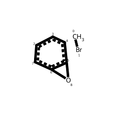 CBr.c1ccc2c(c1)O2